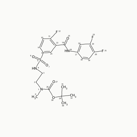 CN(CCNS(=O)(=O)c1ccc(F)c(C(=O)Nc2ccc(F)c(F)c2)c1)C(=O)OC(C)(C)C